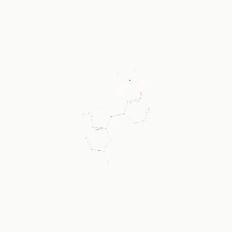 Fc1ccc2[nH]cc(-c3cccc4c3OC(F)(F)O4)c2c1